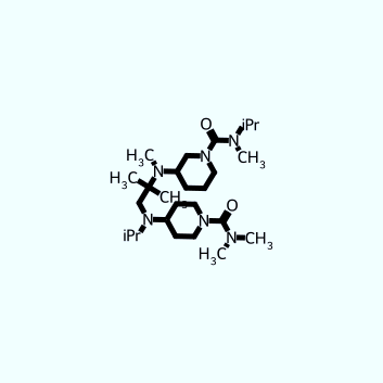 CC(C)N(C)C(=O)N1CCCC(N(C)C(C)(C)CN(C(C)C)C2CCN(C(=O)N(C)C)CC2)C1